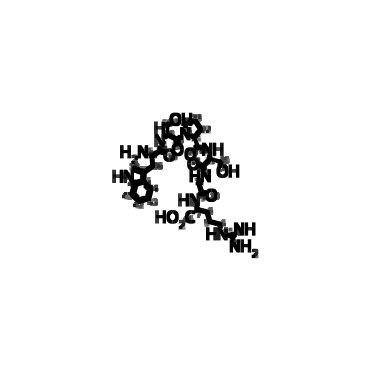 N=C(N)NCCC[C@H](NC(=O)CNC(=O)[C@H](CO)NC(=O)[C@@H]1CCCN1C(=O)[C@H](CO)NC(=O)[C@@H](N)Cc1c[nH]c2ccccc12)C(=O)O